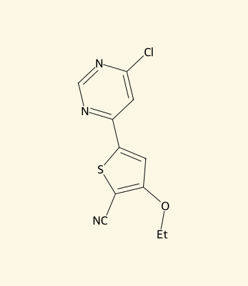 CCOc1cc(-c2cc(Cl)ncn2)sc1C#N